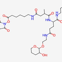 CCCNC(=O)C(CCC(=O)NCCOC1OCCCC1O)NC(=O)C(C)CC(=O)NCCCCCC(=O)ON1C(=O)CCC1=O